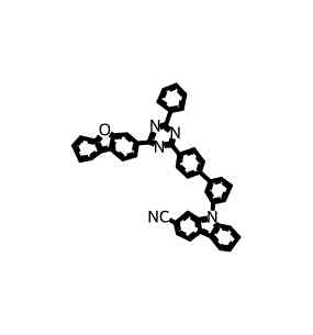 N#Cc1ccc2c3ccccc3n(-c3cccc(-c4ccc(-c5nc(-c6ccccc6)nc(-c6ccc7c(c6)oc6ccccc67)n5)cc4)c3)c2c1